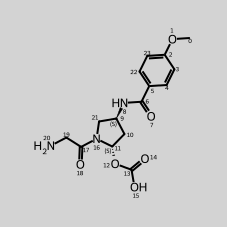 COc1ccc(C(=O)N[C@H]2C[C@H](OC(=O)O)N(C(=O)CN)C2)cc1